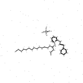 CCCCCCCCCCCCCCC(CCC)O[n+]1ccccc1CC=Cc1ccccc1.F[B-](F)(F)F